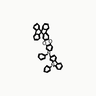 c1ccc(N(c2ccc3c(c2)Oc2cc4c(cc2O3)-c2ccccc2C42c3ccccc3-c3ccccc32)c2ccc3c4ccccc4n(-c4ccccc4)c3c2)cc1